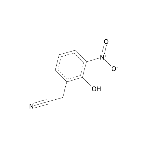 N#CCc1cccc([N+](=O)[O-])c1O